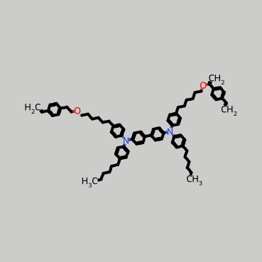 C=Cc1ccc(CCOCCCCCCc2ccc(N(c3ccc(CCCCCC)cc3)c3ccc(-c4ccc(N(c5ccc(CCCCCC)cc5)c5ccc(CCCCCCOC(=C)c6ccc(C=C)cc6)cc5)cc4)cc3)cc2)cc1